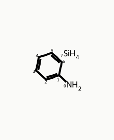 Nc1ccccc1.[SiH4]